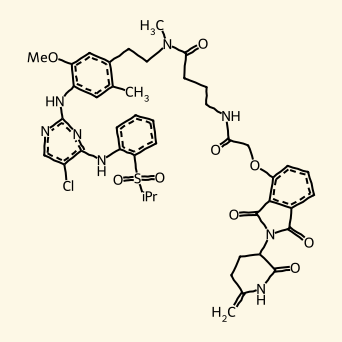 C=C1CCC(N2C(=O)c3cccc(OCC(=O)NCCCC(=O)N(C)CCc4cc(OC)c(Nc5ncc(Cl)c(Nc6ccccc6S(=O)(=O)C(C)C)n5)cc4C)c3C2=O)C(=O)N1